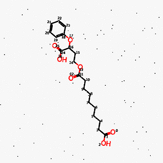 O=C(O)CCCCCCCCC(=O)OCCC(Oc1ccccc1)C(=O)O